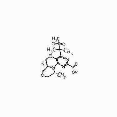 C[C@@H]1COC[C@H]2COc3c(nc(C(=O)O)nc3C(C)(C)S(C)(=O)=O)N21